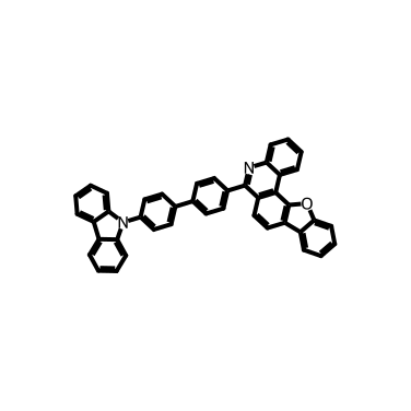 c1ccc2c(c1)nc(-c1ccc(-c3ccc(-n4c5ccccc5c5ccccc54)cc3)cc1)c1ccc3c4ccccc4oc3c12